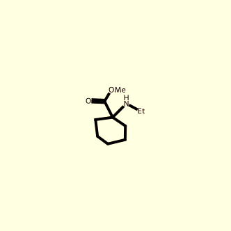 CCNC1(C(=O)OC)CCCCC1